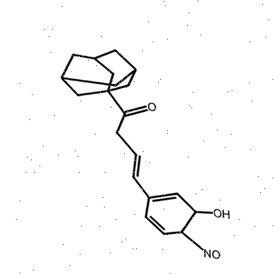 O=NC1C=CC(/C=C/CC(=O)C23CC4CC(CC(C4)C2)C3)=CC1O